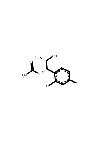 C[C@H](O)[C@@H](OC(N)=O)c1ccc(Cl)cc1Cl